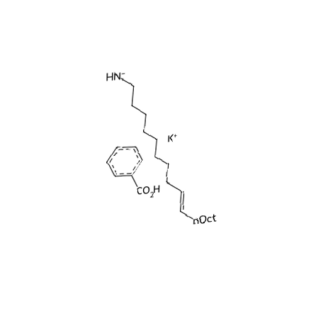 CCCCCCCCC=CCCCCCCCC[NH-].O=C(O)c1ccccc1.[K+]